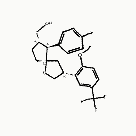 COc1ccc(C(F)(F)F)cc1[C@@H]1CO[C@]2(CC[C@H](CO)[C@H]2c2ccc(F)cc2)C1